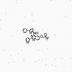 CN(C)C(=O)COc1ccc2nc(-c3cccnc3)nc(Nc3nc(-c4ccccc4)cs3)c2c1